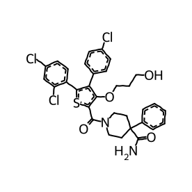 NC(=O)C1(c2ccccc2)CCN(C(=O)c2sc(-c3ccc(Cl)cc3Cl)c(-c3ccc(Cl)cc3)c2OCCCO)CC1